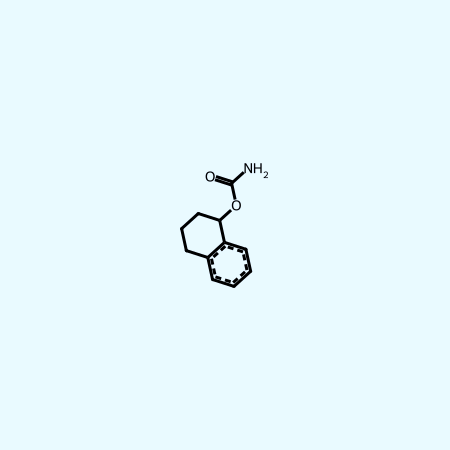 NC(=O)OC1CCCc2ccccc21